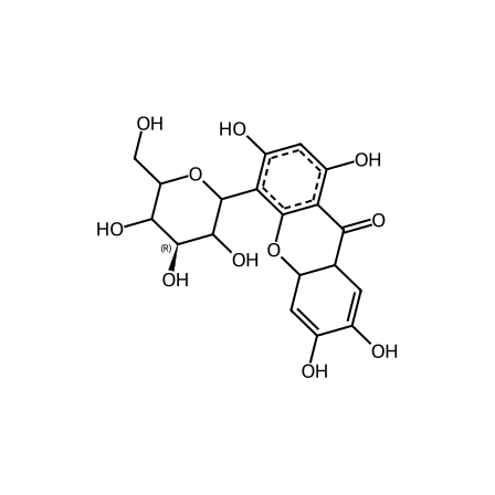 O=C1c2c(O)cc(O)c(C3OC(CO)C(O)[C@H](O)C3O)c2OC2C=C(O)C(O)=CC12